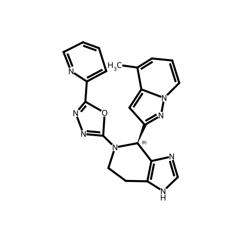 Cc1cccn2nc([C@H]3c4nc[nH]c4CCN3c3nnc(-c4ccccn4)o3)cc12